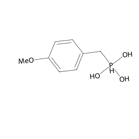 COc1ccc(C[PH](O)(O)O)cc1